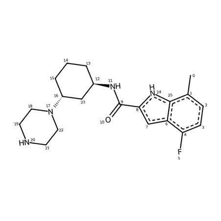 Cc1ccc(F)c2cc(C(=O)N[C@@H]3CCC[C@@H](N4CCNCC4)C3)[nH]c12